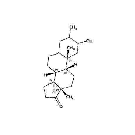 CC1CC2CC[C@@H]3[C@@H](CC[C@]4(C)C(=O)CC[C@@H]34)[C@@]2(C)CC1O